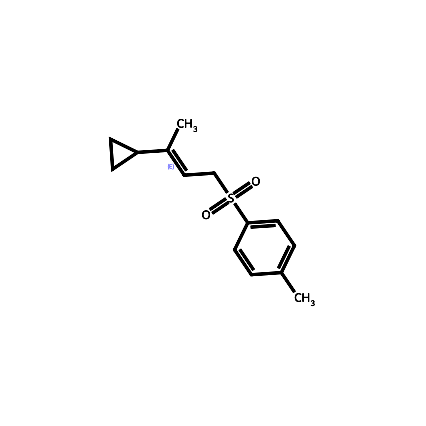 C/C(=C\CS(=O)(=O)c1ccc(C)cc1)C1CC1